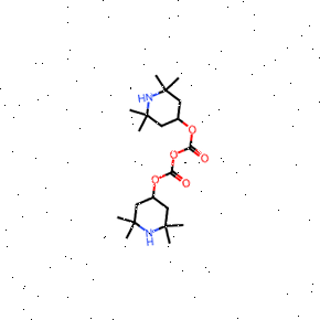 CC1(C)CC(OC(=O)OC(=O)OC2CC(C)(C)NC(C)(C)C2)CC(C)(C)N1